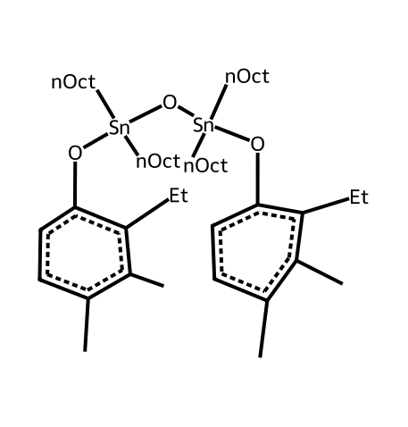 CCCCCCC[CH2][Sn]([CH2]CCCCCCC)([O]c1ccc(C)c(C)c1CC)[O][Sn]([CH2]CCCCCCC)([CH2]CCCCCCC)[O]c1ccc(C)c(C)c1CC